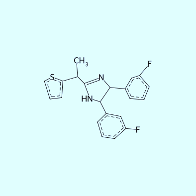 CC(C1=NC(c2cccc(F)c2)C(c2cccc(F)c2)N1)c1cccs1